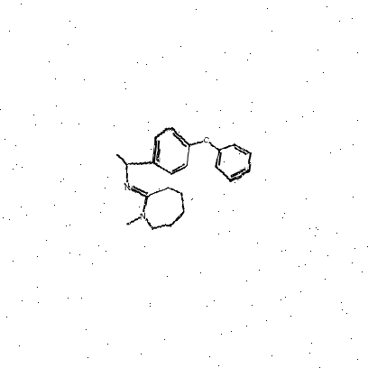 CC(/N=C1\CCCCCN1C)c1ccc(Oc2ccccc2)cc1